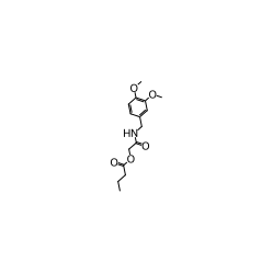 CCCC(=O)OCC(=O)NCc1ccc(OC)c(OC)c1